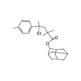 CCC(C)(CC(C)(C)C(=O)OC1C2CC3CC(C2)CC1C3)c1ccc(C)cc1